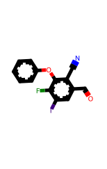 N#Cc1c(C=O)cc(I)c(F)c1Oc1ccccc1